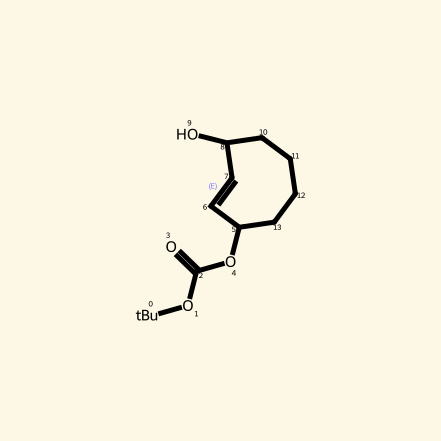 CC(C)(C)OC(=O)OC1/C=C/C(O)CCCC1